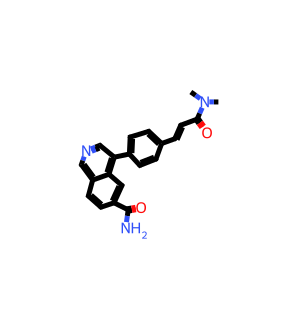 CN(C)C(=O)/C=C/c1ccc(-c2cncc3ccc(C(N)=O)cc23)cc1